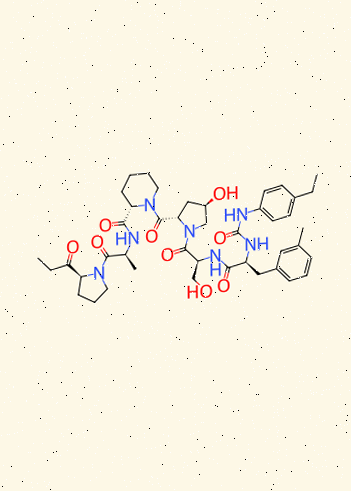 CCC(=O)[C@@H]1CCCN1C(=O)[C@H](C)NC(=O)[C@@H]1CCCCN1C(=O)[C@@H]1C[C@@H](O)CN1C(=O)[C@H](CO)NC(=O)[C@H](Cc1cccc(C)c1)NC(=O)Nc1ccc(CC)cc1